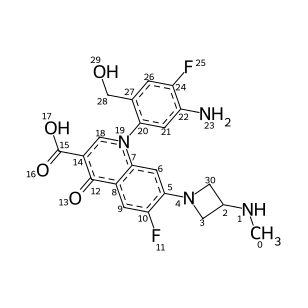 CNC1CN(c2cc3c(cc2F)c(=O)c(C(=O)O)cn3-c2cc(N)c(F)cc2CO)C1